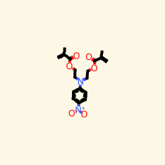 C=C(C)C(=O)OCCN(CCOC(=O)C(=C)C)c1ccc([N+](=O)[O-])cc1